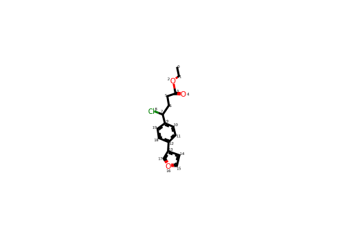 CCOC(=O)CCC(Cl)c1ccc(-c2ccoc2)cc1